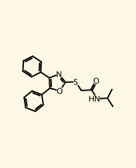 CC(C)NC(=O)CSc1nc(-c2ccccc2)c(-c2ccccc2)o1